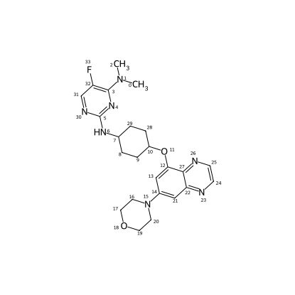 CN(C)c1nc(NC2CCC(Oc3cc(N4CCOCC4)cc4nccnc34)CC2)ncc1F